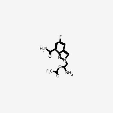 NC(=O)c1cc(F)cc2cn(CC(N)OC(=O)C(F)(F)F)nc12